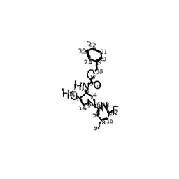 O=C(NC1CN(c2cc(I)cc(F)n2)CC1O)OCc1ccccc1